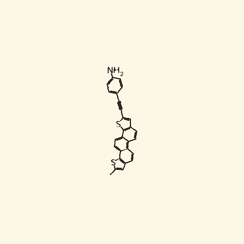 Cc1cc2ccc3c4ccc5cc(C#Cc6ccc(N)cc6)sc5c4ccc3c2s1